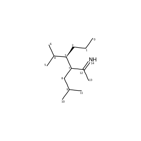 CCC[C@H](C(C)C)C(CC(C)C)C(C)=N